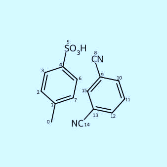 Cc1ccc(S(=O)(=O)O)cc1.N#Cc1cccc(C#N)c1